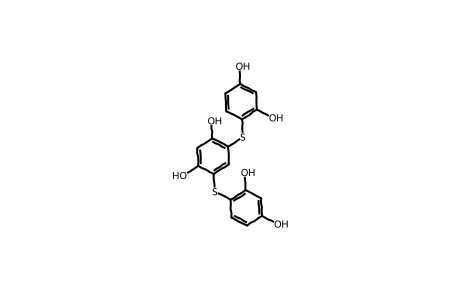 Oc1ccc(Sc2cc(Sc3ccc(O)cc3O)c(O)cc2O)c(O)c1